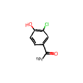 CCCC(=O)c1ccc(O)c(Cl)c1